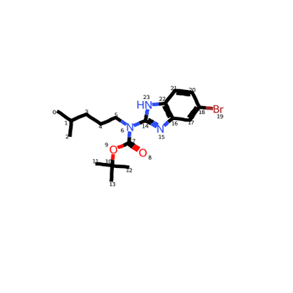 CC(C)CCCN(C(=O)OC(C)(C)C)c1nc2cc(Br)ccc2[nH]1